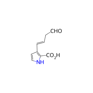 O=CCC=Cc1cc[nH]c1C(=O)O